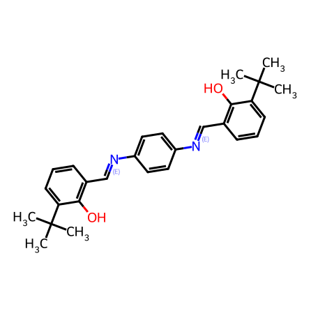 CC(C)(C)c1cccc(/C=N/c2ccc(/N=C/c3cccc(C(C)(C)C)c3O)cc2)c1O